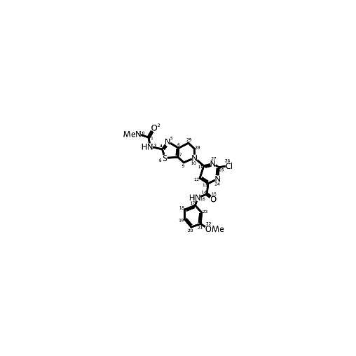 CNC(=O)Nc1nc2c(s1)CN(c1cc(C(=O)Nc3cccc(OC)c3)nc(Cl)n1)CC2